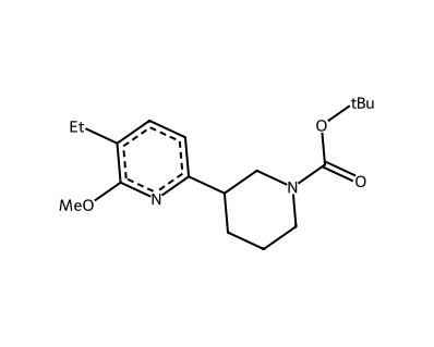 CCc1ccc(C2CCCN(C(=O)OC(C)(C)C)C2)nc1OC